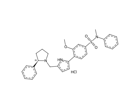 COc1cc(S(=O)(=O)N(C)c2ccccc2)ccc1-c1ccc(CN2CCC[C@@H]2c2ccccc2)[nH]1.Cl